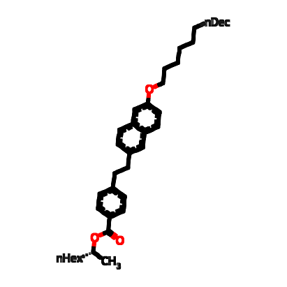 CCCCCCCCCCCCCCCCOc1ccc2cc(CCc3ccc(C(=O)O[C@H](C)CCCCCC)cc3)ccc2c1